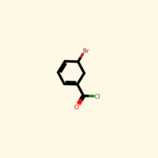 O=C(Cl)C1=CC=CC(Br)C1